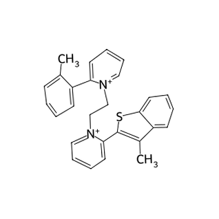 Cc1ccccc1-c1cccc[n+]1CC[n+]1ccccc1-c1sc2ccccc2c1C